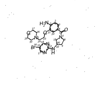 Nc1ccc(C(=O)N2CC[C@@H](Nc3ncc(Br)cn3)C2)cc1OCCN1CCOCC1